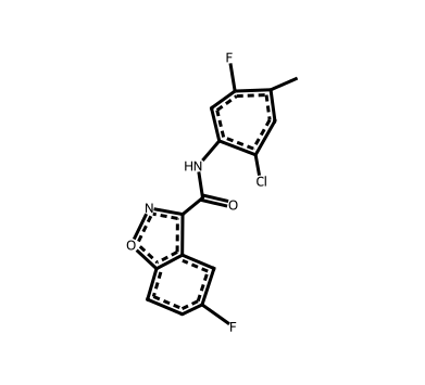 Cc1cc(Cl)c(NC(=O)c2noc3ccc(F)cc23)cc1F